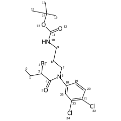 CCC(Br)C(=O)N(CCCNC(=O)OC(C)(C)C)c1ccc(Cl)c(Cl)c1